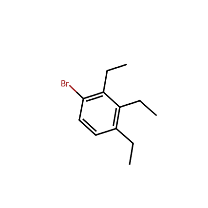 CCc1ccc(Br)c(CC)c1CC